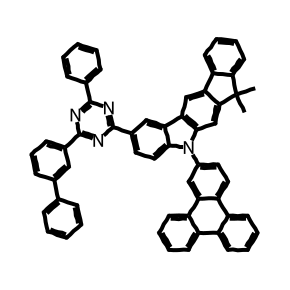 CC1(C)c2ccccc2-c2cc3c4cc(-c5nc(-c6ccccc6)nc(-c6cccc(-c7ccccc7)c6)n5)ccc4n(-c4ccc5c6ccccc6c6ccccc6c5c4)c3cc21